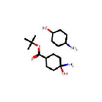 CC(C)(C)OC(=O)C1CCC(N)(O)CC1.NC1CCC(O)CC1